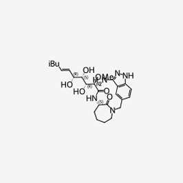 CCC(C)C=C[C@@H](O)[C@H](O)[C@@H](O)[C@@H](OC)C(=O)N[C@H]1CCCCN(Cc2ccc3[nH]nc(N)c3c2)C1=O